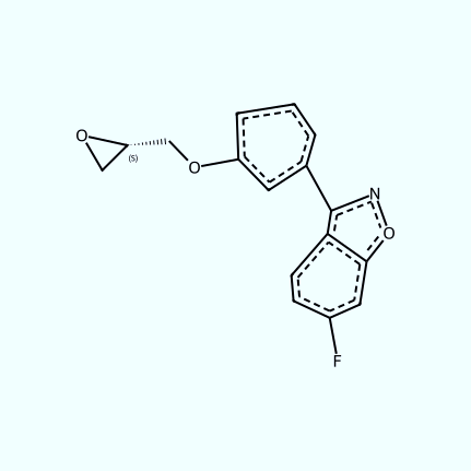 Fc1ccc2c(-c3cccc(OC[C@@H]4CO4)c3)noc2c1